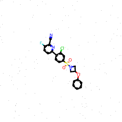 N#Cc1nc(-c2ccc(S(=O)(=O)N3CC(Oc4ccccc4)C3)cc2Cl)ccc1F